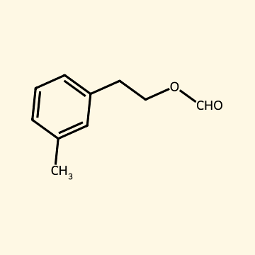 Cc1cccc(CCOC=O)c1